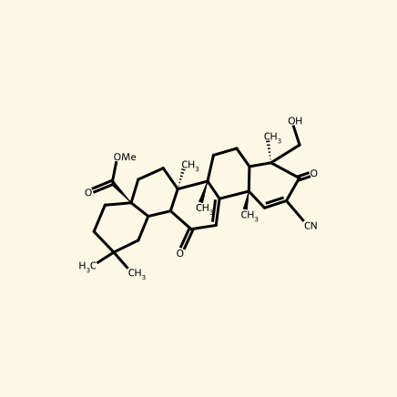 COC(=O)[C@]12CCC(C)(C)CC1C1C(=O)C=C3[C@@]4(C)C=C(C#N)C(=O)[C@](C)(CO)C4CC[C@@]3(C)[C@]1(C)CC2